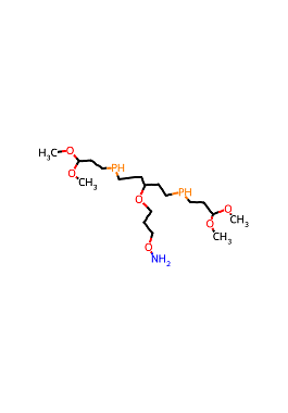 COC(CCPCCC(CCPCCC(OC)OC)OCCCON)OC